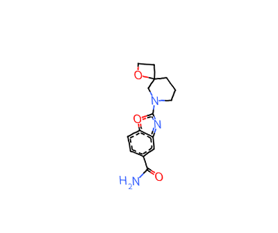 NC(=O)c1ccc2oc(N3CCCC4(CCO4)C3)nc2c1